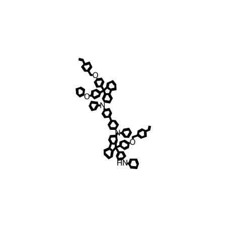 C=Cc1ccc(COc2ccc(C3(c4ccc(Nc5ccccc5)cc4)c4ccccc4-c4ccc(N(c5ccccc5)c5ccc(-c6ccc(N(c7ccccc7)c7ccc8c(c7)C(c7ccc(OCc9ccc(C=C)cc9)cc7)(c7ccc(Oc9ccccc9)cc7)c7ccccc7-8)cc6)cc5)cc43)cc2)cc1